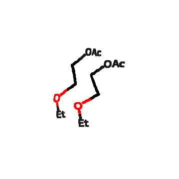 CCOCCOC(C)=O.CCOCCOC(C)=O